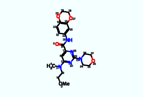 COCCN(C)c1cc(C(=O)Nc2ccc3c(c2)OCCO3)nc(N2CCOCC2)n1